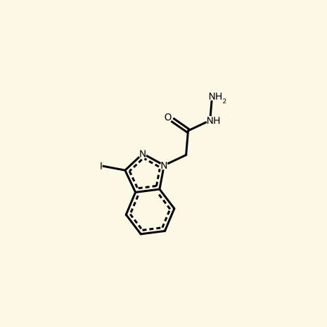 NNC(=O)Cn1nc(I)c2ccccc21